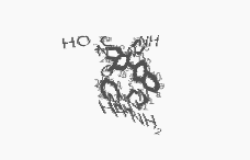 N=C(N)N1CCN(c2cccc3ccc(-c4cc(OC5CCNCC5)c5cnc(C(=O)O)cc5c4N4CCNCC4)cc23)CC1